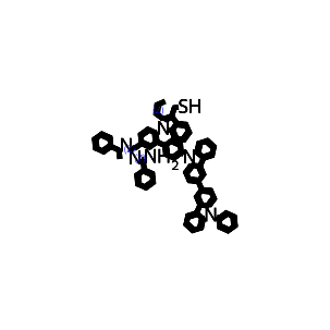 C/C=C\c1c(CS)c2ccccc2n1-c1ccc(C(/N=C(\N)c2ccccc2)=N/C(C)c2ccccc2)cc1-c1ccc(-n2c3ccccc3c3cc(-c4ccc5c(c4)c4ccccc4n5-c4ccccc4)ccc32)cc1